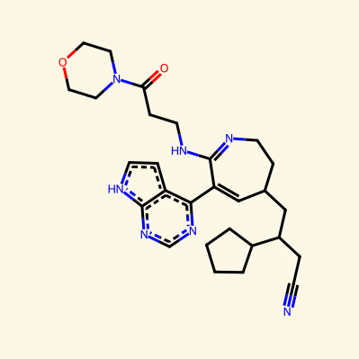 N#CCC(CC1C=C(c2ncnc3[nH]ccc23)C(NCCC(=O)N2CCOCC2)=NCC1)C1CCCC1